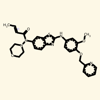 C/C=C/C(=O)N(c1ccc2nc(Nc3ccc(OCc4ccccn4)c(OC)c3)sc2c1)N1CCOCC1